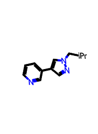 CC(C)Cn1cc(-c2cccnc2)cn1